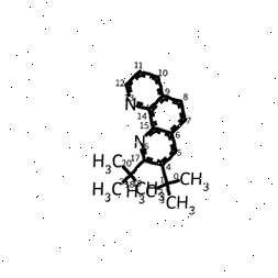 CC(C)(C)c1cc2ccc3cccnc3c2nc1C(C)(C)C